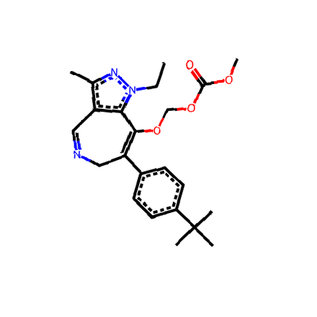 CCn1nc(C)c2c1C(OCOC(=O)OC)=C(c1ccc(C(C)(C)C)cc1)CN=C2